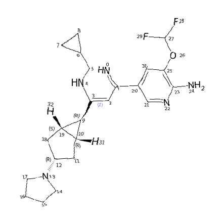 N=C(/C=C(\NCC1CC1)[C@H]1[C@@H]2C[C@H](N3CCCC3)C[C@@H]21)c1cnc(N)c(OC(F)F)c1